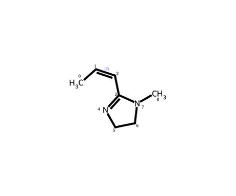 C/C=C\C1=NCCN1C